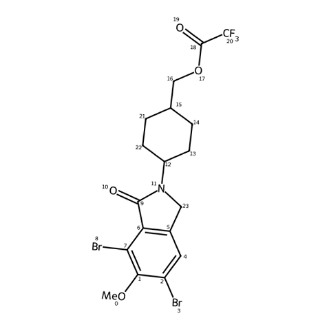 COc1c(Br)cc2c(c1Br)C(=O)N(C1CCC(COC(=O)C(F)(F)F)CC1)C2